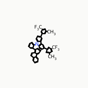 Cc1cc(-c2ccc3c(c2)c2cc(-c4cc(C)cc(C(F)(F)F)c4)ccc2n3-c2ccccc2-c2cccc3c2ccc2ccccc23)cc(C(F)(F)F)c1